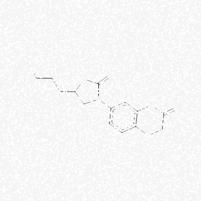 NCCCC1CN(c2ccc3c(c2)NC(=O)CO3)C(=O)O1